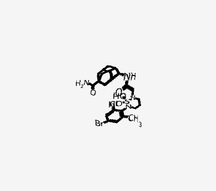 Cc1cc(Br)cc(Cl)c1N1CCCN(CC(=O)NC2C3CC4CC2CC(C(N)=O)(C4)C3)S1(O)O